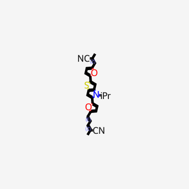 C/C(C#N)=C/C=C/c1ccc(-c2cc3sc(-c4ccc(/C=C(/C)C#N)o4)cc3n2C(C)C)o1